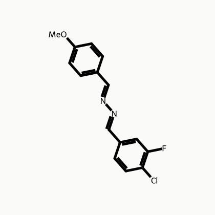 COc1ccc(/C=N/N=C/c2ccc(Cl)c(F)c2)cc1